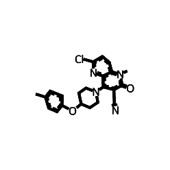 Cc1ccc(OC2CCN(c3c(C#N)c(=O)n(C)c4ccc(Cl)nc34)CC2)cc1